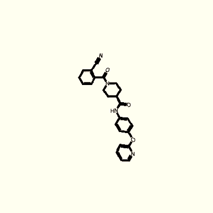 N#CC1=C(C(=O)N2CCC(C(=O)Nc3ccc(Oc4ccccn4)cc3)CC2)C=CCC1